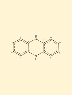 c1ccc2c(c1)[N]c1ccccc1O2